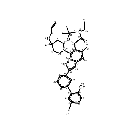 C=CCOC1(C)CCN(c2c([C@H](OC(C)(C)C)C(=O)OCC)c(C)nc3cc(-c4cccc(-c5cc(F)ccc5O)c4)nn23)CC1